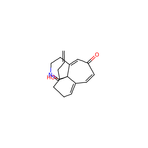 C=CCC1(O)CCC=C2C=CC(=O)C=C3CCN=CC231